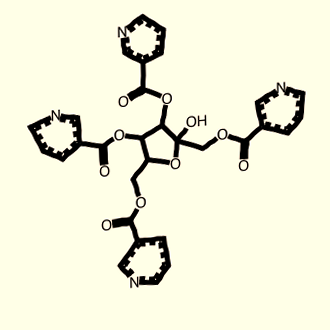 O=C(OCC1OC(O)(COC(=O)c2cccnc2)C(OC(=O)c2cccnc2)C1OC(=O)c1cccnc1)c1cccnc1